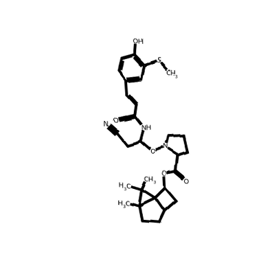 CSc1cc(/C=C/C(=O)NC(CC#N)ON2CCCC2C(=O)OC2CC3CCC4(C)C(C)(C)C324)ccc1O